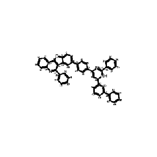 C1=C(c2ccc(-c3ccc4oc5c6ccccc6nc(-c6ccccc6)c5c4c3)cc2)N=C(c2ccccc2)NC1c1cccc(-c2ccccc2)c1